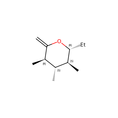 C=C1O[C@H](CC)[C@@H](C)[C@H](C)[C@H]1C